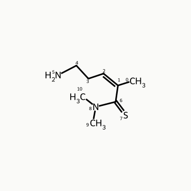 CC(=CCCN)C(=S)N(C)C